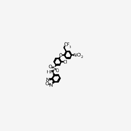 O=[N+]([O-])c1ccc(Oc2ccc(S(=O)(=O)Nc3cccc4nonc34)cc2Cl)c(CC(F)(F)F)c1